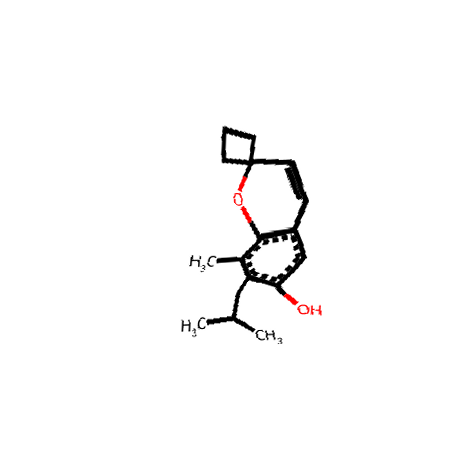 Cc1c2c(cc(O)c1C(C)C)C=CC1(CCC1)O2